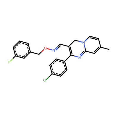 CC1=CC2=NC(c3ccc(Cl)cc3)=C(/C=N/OCc3cccc(F)c3)CN2C=C1